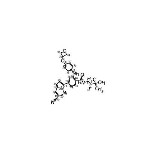 CC(C)(O)[C@H](F)CNC(=O)c1cnc(-c2ccc3cc(C#N)cnn23)cc1Nc1ccc(OC2COC2)nc1